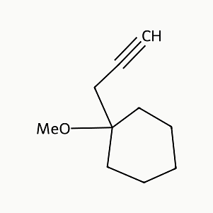 C#CCC1(OC)CCCCC1